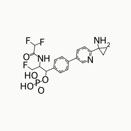 NC1(c2ccc(-c3ccc(C(OP(=O)(O)O)C(CF)NC(=O)C(F)F)cc3)cn2)CC1